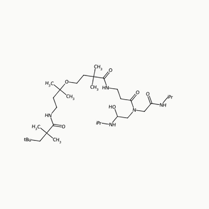 CC(C)NC(=O)CN(CC(O)NC(C)C)C(=O)CCNC(=O)C(C)(C)CCOC(C)(C)CCNC(=O)C(C)(C)CC(C)(C)C